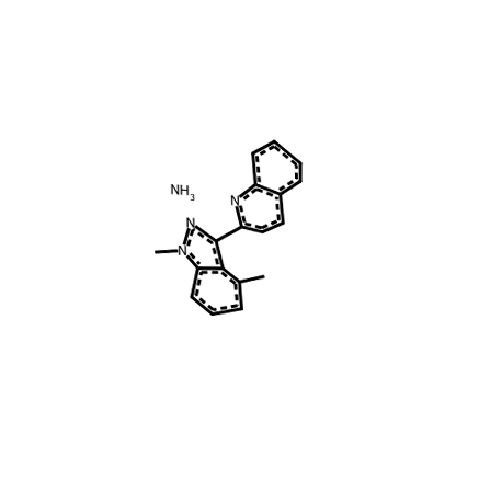 Cc1cccc2c1c(-c1ccc3ccccc3n1)nn2C.N